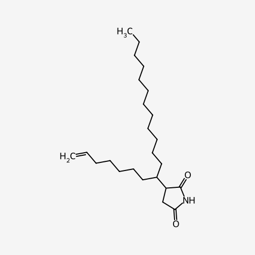 C=CCCCCCC(CCCCCCCCCCCC)C1CC(=O)NC1=O